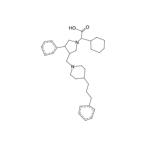 O=C(O)C(C1CCCCC1)N1CC(CN2CCC(CCCc3ccccc3)CC2)C(c2ccccc2)C1